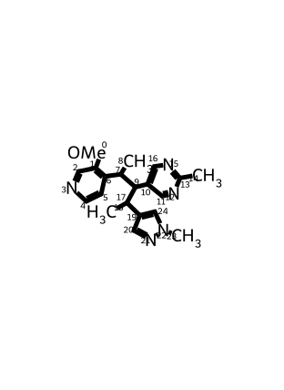 COc1cnccc1C(C)C(c1cnc(C)nc1)C(C)c1cnn(C)c1